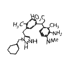 CNc1ccc(C(CC(=O)O)c2ccc(C)c(CC3=CNNN3CC3CCCCC3)c2)c(C)c1N